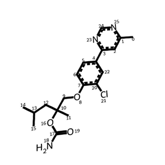 Cc1cc(-c2ccc(OCC(C)(CC(C)C)OC(N)=O)c(Cl)c2)ncn1